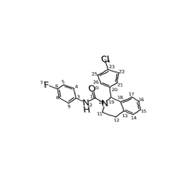 O=C(Nc1ccc(F)cc1)N1CCc2ccccc2C1c1ccc(Cl)cc1